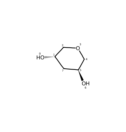 O[C@@H]1COC[C@@H](O)C1